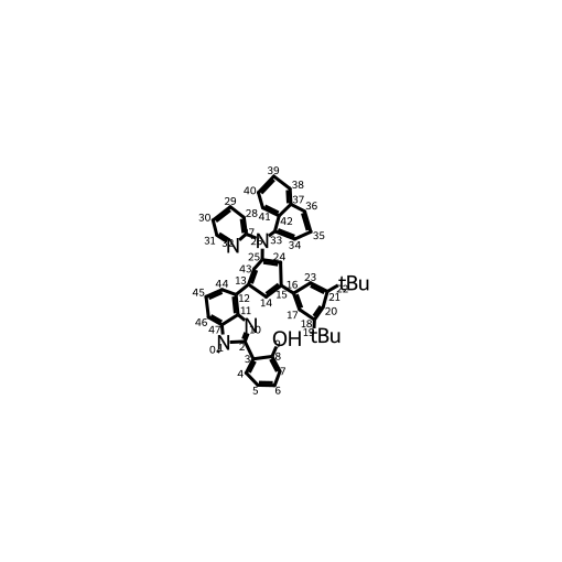 Cn1c(-c2ccccc2O)nc2c(-c3cc(-c4cc(C(C)(C)C)cc(C(C)(C)C)c4)cc(N(c4ccccn4)c4cccc5ccccc45)c3)cccc21